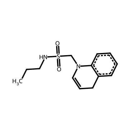 CCCNS(=O)(=O)CN1C=CCc2ccccc21